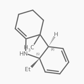 CC[C@]12C=CC=C[C@@H]1C1(C)CCCC=C1N2